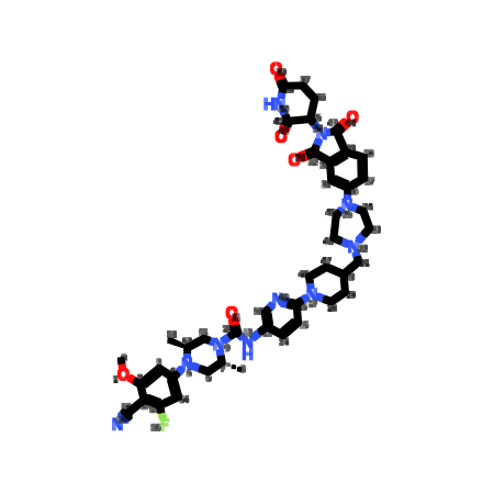 COc1cc(N2C[C@@H](C)N(C(=O)Nc3ccc(N4CCC(CN5CCN(c6ccc7c(c6)C(=O)N(C6CCC(=O)NC6=O)C7=O)CC5)CC4)nc3)C[C@@H]2C)cc(F)c1C#N